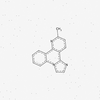 Cc1ccc2c(n1)c1ccccc1n1ccnc21